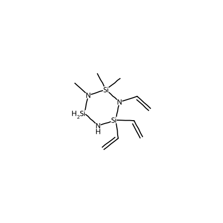 C=CN1[Si](C=C)(C=C)N[SiH2]N(C)[Si]1(C)C